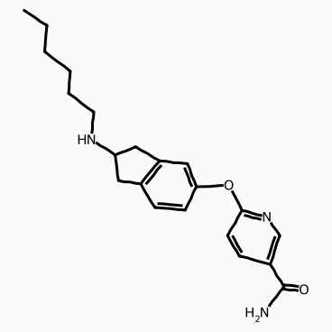 CCCCCCNC1Cc2ccc(Oc3ccc(C(N)=O)cn3)cc2C1